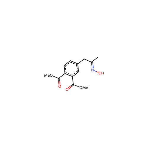 COC(=O)c1ccc(CC(C)=NO)cc1C(=O)OC